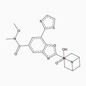 CON(C)C(=O)c1cc(-c2nccs2)c2oc(N3CC4CC(C3)N4C(=O)O)nc2c1